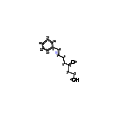 O=C(CCO)CC/C=C/c1ccccc1